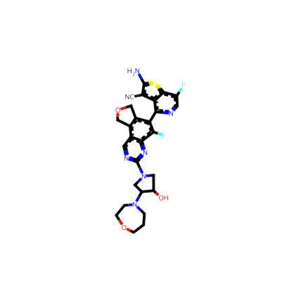 N#Cc1c(N)sc2c(F)cnc(-c3c4c(c5cnc(N6CC(O)C(N7CCCOCC7)C6)nc5c3F)COC4)c12